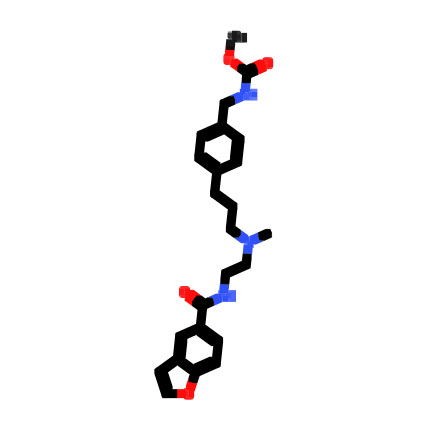 CN(CCCc1ccc(CNC(=O)OC(C)(C)C)cc1)CCNC(=O)c1ccc2occc2c1